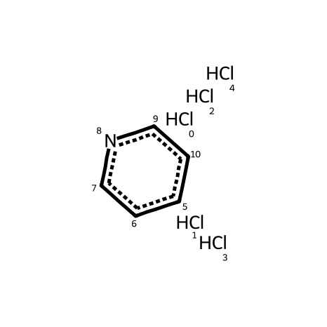 Cl.Cl.Cl.Cl.Cl.c1ccncc1